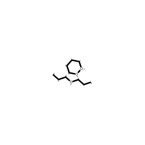 C1CCOOC1.CCCOCCC